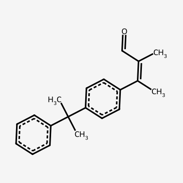 CC(C=O)=C(C)c1ccc(C(C)(C)c2ccccc2)cc1